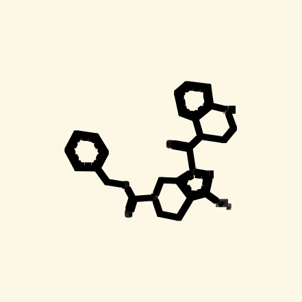 Nc1nn(C(=O)C2CCNc3ccccc32)c2c1CCN(C(=O)OCc1ccccc1)C2